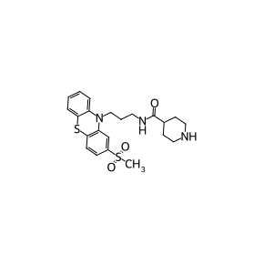 CS(=O)(=O)c1ccc2c(c1)N(CCCNC(=O)C1CCNCC1)c1ccccc1S2